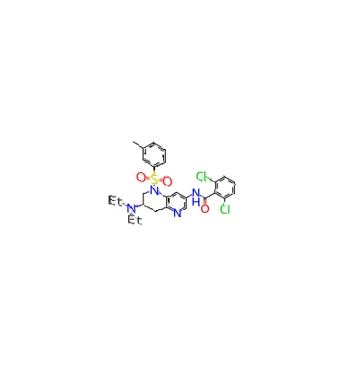 CCN(CC)[C@@H]1Cc2ncc(NC(=O)c3c(Cl)cccc3Cl)cc2N(S(=O)(=O)c2cccc(C)c2)C1